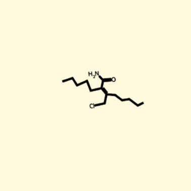 CCCCCC(CCl)=C(CCCCC)C(N)=O